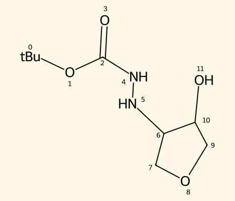 CC(C)(C)OC(=O)NNC1COCC1O